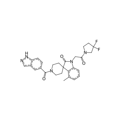 Cc1cccc2c1C1(CCN(C(=O)c3ccc4[nH]ncc4c3)CC1)C(=O)N2CC(=O)N1CCC(F)(F)C1